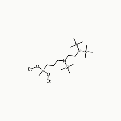 CCO[Si](C)(CCCN(CCN([Si](C)(C)C)[Si](C)(C)C)[Si](C)(C)C)OCC